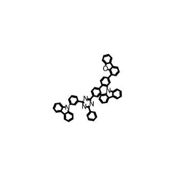 c1ccc(-c2nc(-c3ccc(-c4ccc(-c5cccc6c5oc5ccccc56)cc4-n4c5ccccc5c5ccccc54)cc3)nc(-c3cccc(-n4c5ccccc5c5ccccc54)c3)n2)cc1